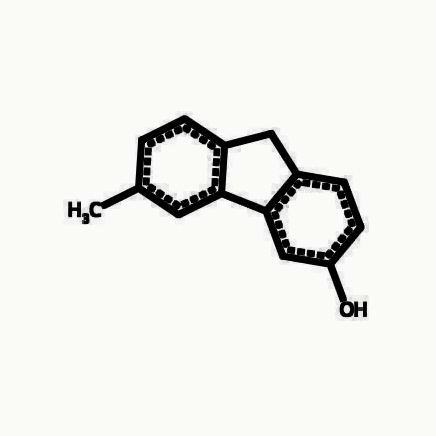 Cc1ccc2c(c1)-c1cc(O)ccc1C2